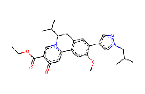 CCOC(=O)c1cn2c(cc1=O)-c1cc(OC)c(-c3cnn(CC(C)C)c3)cc1CC2C(C)C